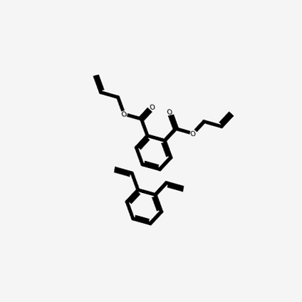 C=CCOC(=O)c1ccccc1C(=O)OCC=C.C=Cc1ccccc1C=C